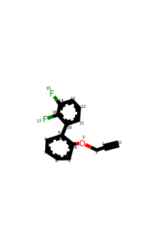 C#CCOc1[c]cccc1-c1cccc(F)c1F